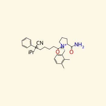 Cc1cccc(C[N@+]2(C(=O)CCCC[C@@](C#N)(c3ccccc3)C(C)C)CCCC2C(N)=O)c1C